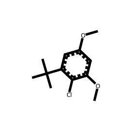 COc1cc(OC)c(Cl)c(C(C)(C)C)c1